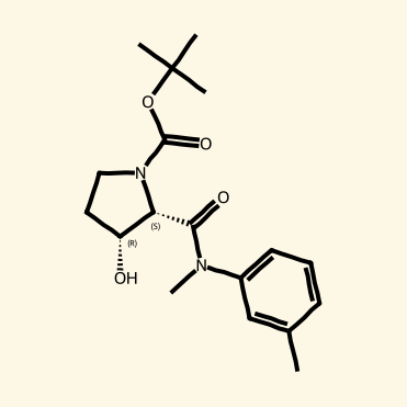 Cc1cccc(N(C)C(=O)[C@@H]2[C@H](O)CCN2C(=O)OC(C)(C)C)c1